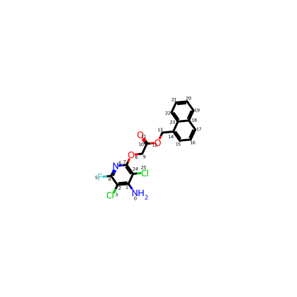 Nc1c(Cl)c(F)nc(OCC(=O)OCc2cccc3ccccc23)c1Cl